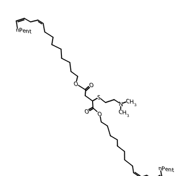 CCCCC/C=C\C/C=C\CCCCCCCCOC(=O)CC(SCCN(C)C)C(=O)OCCCCCCCC/C=C\C/C=C\CCCCC